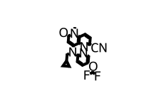 Cn1c(=O)cc(N(CC2CC2)c2ccc(OC(F)F)cn2)c2nc(C#N)ccc21